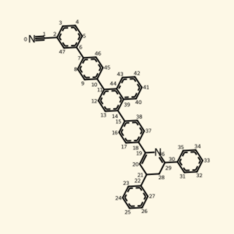 N#Cc1cccc(-c2ccc(-c3ccc(-c4ccc(C5=CC(c6ccccc6)CC(c6ccccc6)=N5)cc4)c4ccccc34)cc2)c1